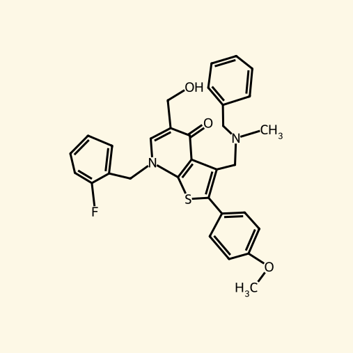 COc1ccc(-c2sc3c(c2CN(C)Cc2ccccc2)c(=O)c(CO)cn3Cc2ccccc2F)cc1